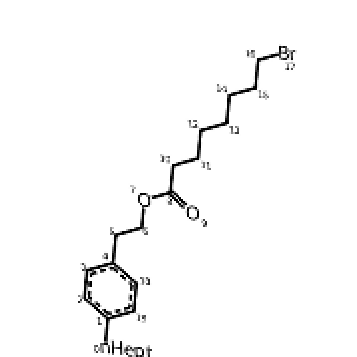 CCCCCCCc1ccc(CCOC(=O)CCCCCCCBr)cc1